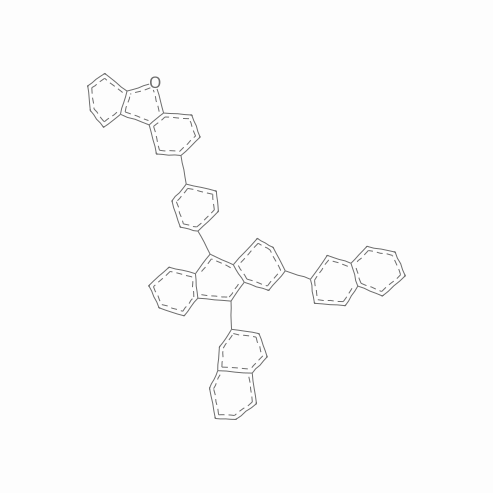 c1ccc2cc(-c3ccc4c(-c5ccc(-c6ccc7oc8ccccc8c7c6)cc5)c5ccccc5c(-c5ccc6ccccc6c5)c4c3)ccc2c1